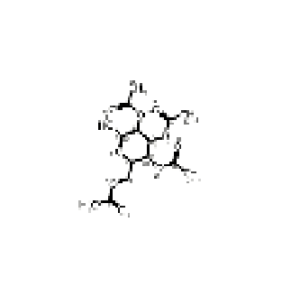 CC(=O)OCC1O[C@@H](O)C(OC(C)=O)[C@@H](OC(C)=O)[C@H]1OC(C)=O